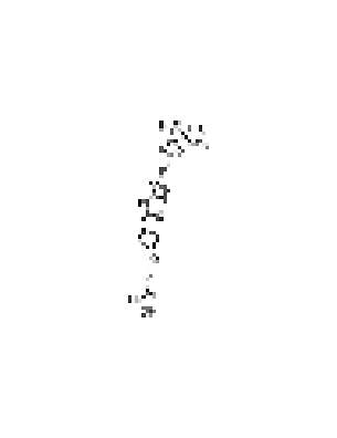 CC(C)(C)c1cnc(CSc2nnc(NC(=O)Cc3ccc(OCCCC(=O)NO)cc3)s2)o1